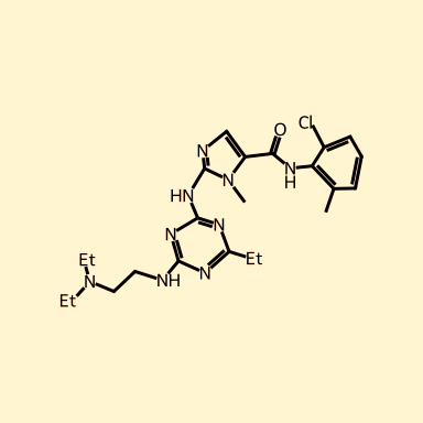 CCc1nc(NCCN(CC)CC)nc(Nc2ncc(C(=O)Nc3c(C)cccc3Cl)n2C)n1